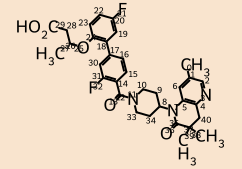 Cc1cnc2c(c1)N(C1CCN(C(=O)c3ccc(-c4cc(F)ccc4O[C@H](C)CC(=O)O)cc3F)CC1)C(=O)C(C)(C)C2